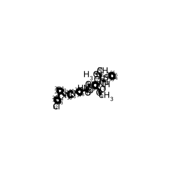 COC(=O)c1cc(S(=O)(=O)NC(=O)c2ccc(N3CCN(Cc4ccccc4-c4ccc(Cl)cc4)CC3)cc2)cc(C)c1N[C@H](CCN(C)C)CSc1ccccc1